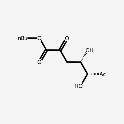 CCCCOC(=O)C(=O)C[C@H](O)[C@@H](O)C(C)=O